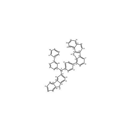 c1ccc(-c2cccc(N(c3ccc(-c4cccc5c4sc4c5ccc5cccnc54)cc3)c3ccc4sc5ccccc5c4c3)c2)cc1